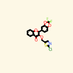 O=c1c(OCc2cnc(Cl)s2)c(-c2ccc3c(c2)OC(F)(F)O3)oc2ccccc12